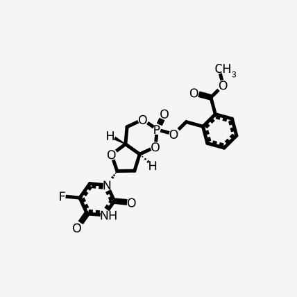 COC(=O)c1ccccc1COP1(=O)OC[C@H]2O[C@@H](n3cc(F)c(=O)[nH]c3=O)C[C@@H]2O1